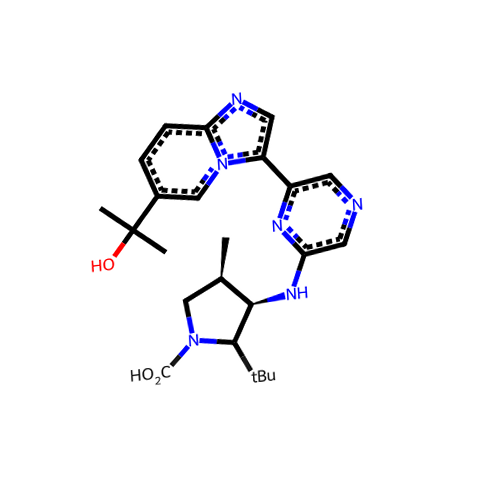 C[C@@H]1CN(C(=O)O)C(C(C)(C)C)[C@@H]1Nc1cncc(-c2cnc3ccc(C(C)(C)O)cn23)n1